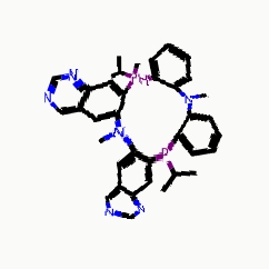 CC(C)P1c2ccccc2N(C)c2ccccc2[PH](C)(C(C)C)c2cc3ncncc3cc2N(C)c2cc3cncnc3cc21